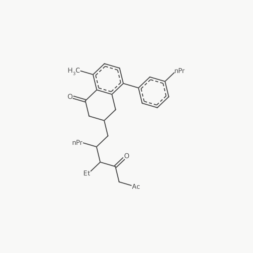 CCCc1cccc(-c2ccc(C)c3c2CC(CC(CCC)C(CC)C(=O)CC(C)=O)CC3=O)c1